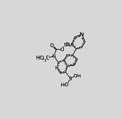 CC(C)(C)OC(=O)N(C(=O)O)c1ncc(B(O)O)c2ccc(-c3ccncc3)cc12